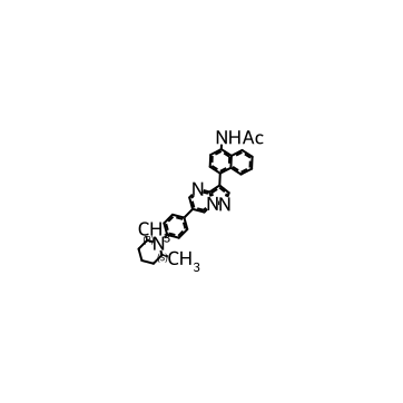 CC(=O)Nc1ccc(-c2cnn3cc(-c4ccc(N5[C@H](C)CCC[C@@H]5C)cc4)cnc23)c2ccccc12